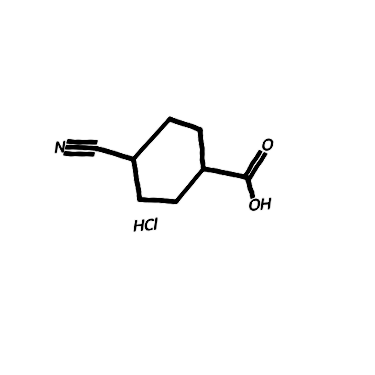 Cl.N#CC1CCC(C(=O)O)CC1